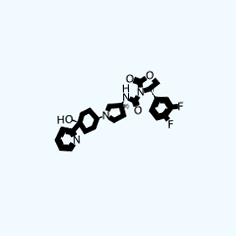 O=C(N[C@@H]1CCN([C@H]2CC[C@](O)(c3ccccn3)CC2)C1)N1C(=O)OC[C@@H]1c1ccc(F)c(F)c1